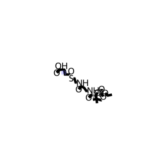 CCOP1(=O)OCC(C)(C)[C@H](C(=O)NCCC(=O)NCCSC(=O)/C=C/C(=O)O)O1